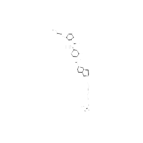 CC/C(F)=C(\F)Cc1cc(C)cc(C(=O)Nc2ccc(OC(=O)c3ccc4cc(OCCCCCCOCC5(CC)COC5)ccc4c3)c(C)c2)c1